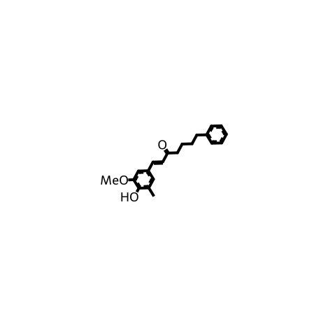 COc1cc(/C=C/C(=O)CCCCc2ccccc2)cc(C)c1O